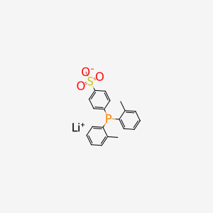 Cc1ccccc1P(c1ccc(S(=O)(=O)[O-])cc1)c1ccccc1C.[Li+]